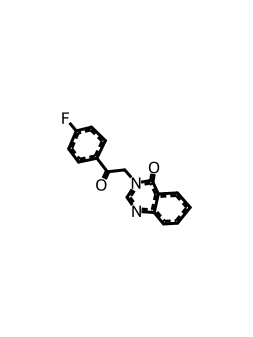 O=C(Cn1cnc2ccccc2c1=O)c1ccc(F)cc1